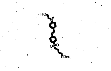 CCCCCCCCCCCCCCS(=O)(=O)c1ccc(C=Cc2ccc(N(C)CCO)cc2)cc1